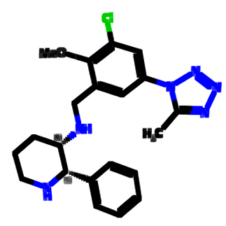 COc1c(Cl)cc(-n2nnnc2C)cc1CN[C@H]1CCCN[C@H]1c1ccccc1